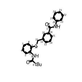 CC(C)(C)C(=O)Nc1ccccc1SCc1cccc(C(=O)Nc2ccccc2)c1